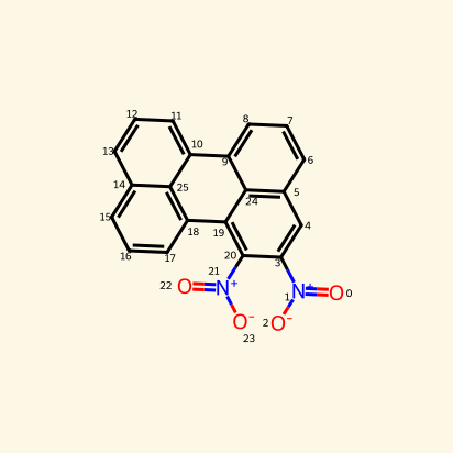 O=[N+]([O-])c1cc2cccc3c4cccc5cccc(c(c1[N+](=O)[O-])c23)c54